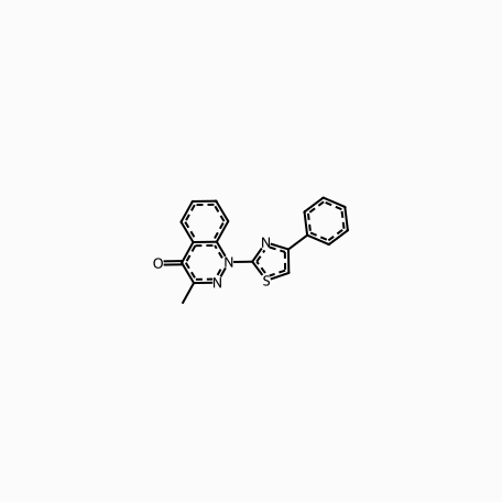 Cc1nn(-c2nc(-c3ccccc3)cs2)c2ccccc2c1=O